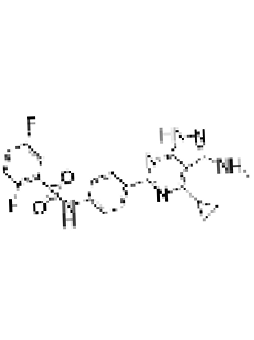 Nc1n[nH]c2nc(-c3ccc(NS(=O)(=O)c4cc(F)ccc4F)cc3)nc(C3CC3)c12